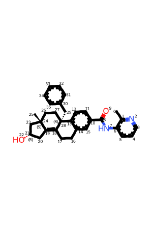 Cc1ncccc1NC(=O)c1ccc2c(c1)CCC1=C3C[C@H](O)C[C@]3(C)CC[C@]12Cc1ccccc1